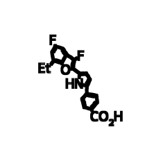 CCc1cc(F)cc2c(F)c(-c3ccc(-c4ccc(C(=O)O)cc4)[nH]3)oc12